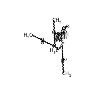 CCCCCCCCCOC(=O)CCCCCCCCN(CCCCCCCCC(=O)OCCCCCCCCC)CCN(C)CCN(CCCCCCCCC(=O)OCCCCCCCCC)CCCCCC(=O)Nc1nc(OCCOC)nc2c1[nH]c(=O)n2Cc1ccc(C=O)cc1